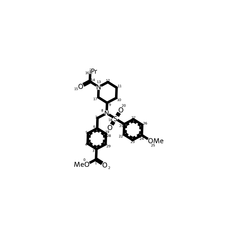 COC(=O)c1ccc(CN(C2CCCN(C(=O)C(C)C)C2)S(=O)(=O)c2ccc(OC)cc2)cc1